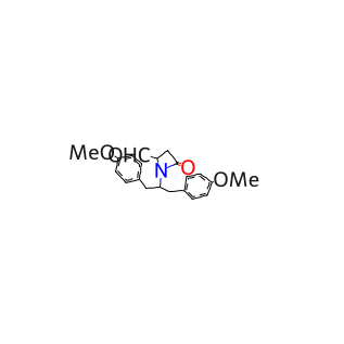 COc1ccc(CC(Cc2ccc(OC)cc2)N2C(=O)CC2C=O)cc1